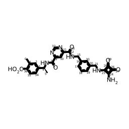 Cc1cc([C@H](C)NC(=O)c2cc(C(=O)NCc3cccc(CNc4c(N)c(=O)c4=O)c3)ncn2)ccc1C(=O)O